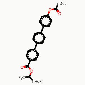 CCCCCCCCC(=O)Oc1ccc(-c2ccc(-c3ccc(C(=O)OC(CCCCCC)C(F)(F)F)cc3)cc2)cc1